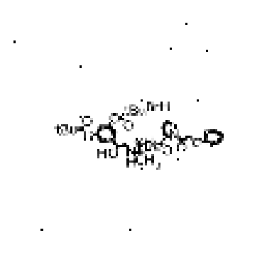 Br.CC(C)(CNC(=O)[C@H]1CCCN1C(=O)COc1ccccc1)NCC(O)c1cc(OC(=O)C(C)(C)C)cc(OC(=O)C(C)(C)C)c1